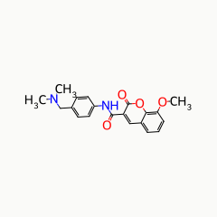 COc1cccc2cc(C(=O)Nc3ccc(CN(C)C)cc3)c(=O)oc12